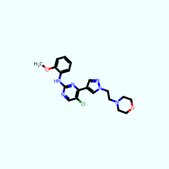 COc1c[c]ccc1Nc1ncc(Cl)c(-c2cnn(CCN3CCOCC3)c2)n1